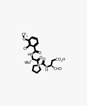 CC(C)(C)[C@H](NC(=O)c1cccc(OC(F)(F)F)c1Cl)C(=O)[N+]1(C(=O)N[C@H](C=O)CC(=O)O)CCCC1